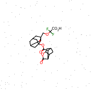 O=C(OC12CC3CC(CC(COC(F)(F)C(=O)O)(C3)C1)C2)C1C2CC3OC(=O)C1C3C2